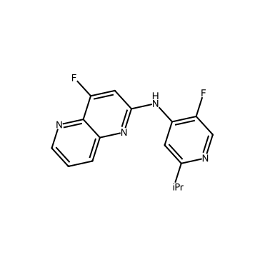 CC(C)c1cc(Nc2cc(F)c3ncccc3n2)c(F)cn1